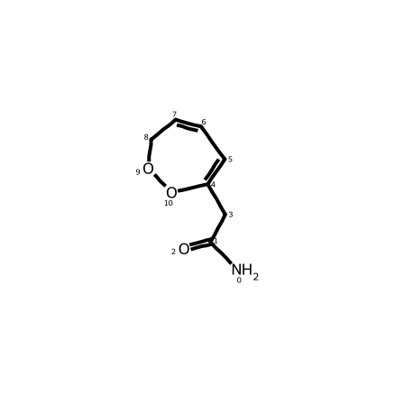 NC(=O)CC1=CC=CCOO1